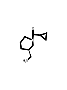 NC[C@H]1CCCN(C(=O)C2CC2)C1